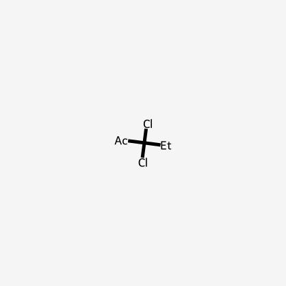 CCC(Cl)(Cl)C(C)=O